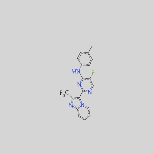 Cc1ccc(Nc2nc(-c3c(C(F)(F)F)nc4ccccn34)ncc2F)cc1